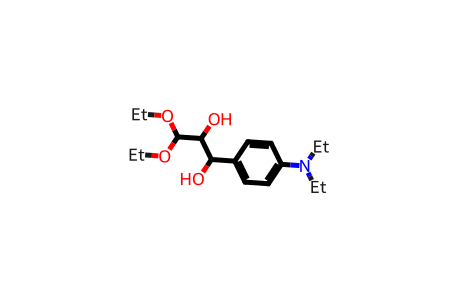 CCOC(OCC)C(O)C(O)c1ccc(N(CC)CC)cc1